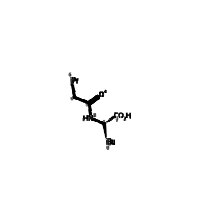 CC[C@H](C)[C@H](NC(=O)CC(C)C)C(=O)O